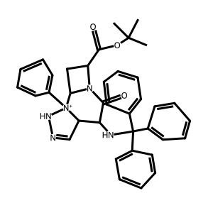 CC(C)(C)OC(=O)C1CC2N1C(=O)C(NC(c1ccccc1)(c1ccccc1)c1ccccc1)C1C=NN[N+]12c1ccccc1